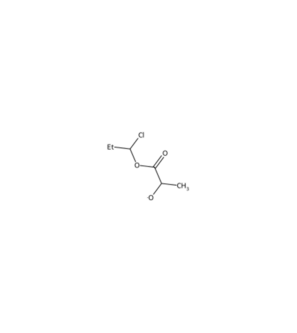 CCC(Cl)OC(=O)C(C)[O]